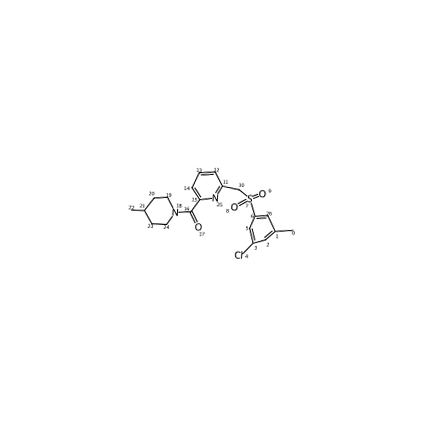 Cc1cc(Cl)cc(S(=O)(=O)Cc2cccc(C(=O)N3CCC(C)CC3)n2)c1